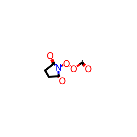 O=[C]OON1C(=O)CCC1=O